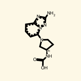 Nc1nc2cccc(N3CC[C@@H](NC(=O)O)C3)n2n1